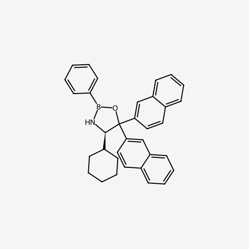 c1ccc(B2N[C@H](C3CCCCC3)C(c3ccc4ccccc4c3)(c3ccc4ccccc4c3)O2)cc1